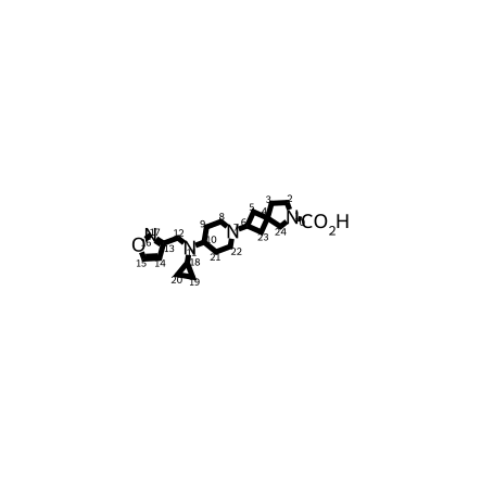 O=C(O)N1CCC2(CC(N3CCC(N(Cc4ccon4)C4CC4)CC3)C2)C1